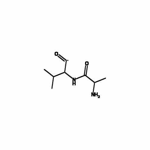 CC(N)C(=O)NC([C]=O)C(C)C